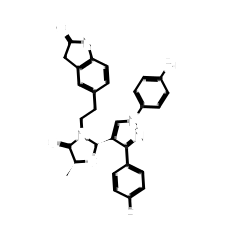 C[C@@H]1O[C@H](c2cn(-c3ccc(Br)cc3)nc2-c2ccc(F)cc2)N(CCc2ccc3c(c2)CC(=O)N3)C1=O